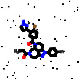 C=CC(=O)N1CCc2nn(-c3ccc(C(C)C)cc3)c3c2[C@H](C1)N(C(=O)c1ccc(Br)c(-c2cc[nH]n2)c1)CC3